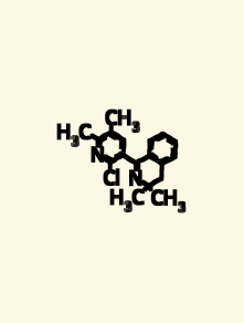 Cc1cc(C2=NC(C)(C)Cc3ccccc32)c(Cl)nc1C